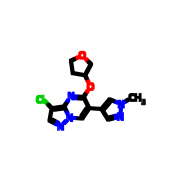 Cn1cc(-c2cn3ncc(Cl)c3nc2OC2CCOC2)cn1